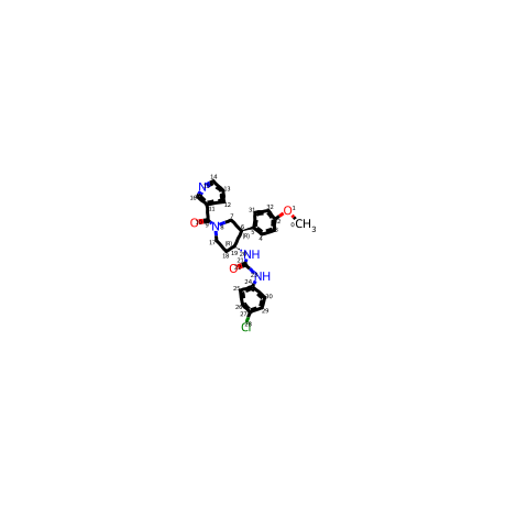 COc1ccc([C@@H]2CN(C(=O)c3cccnc3)CC[C@H]2NC(=O)Nc2ccc(Cl)cc2)cc1